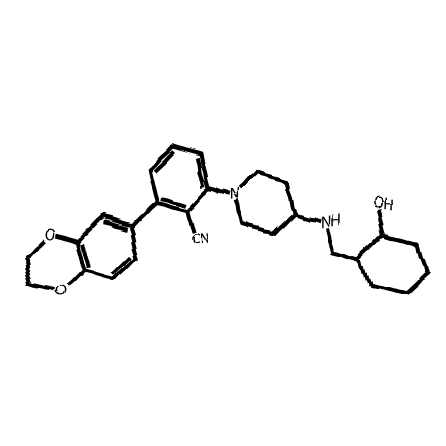 N#Cc1c(-c2ccc3c(c2)OCCO3)cccc1N1CCC(NCC2CCCCC2O)CC1